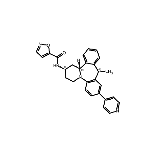 C[C@@H]1c2ccccc2[C@H]2C[C@H](NC(=O)c3ccno3)CCN2c2ccc(-c3ccncc3)cc21